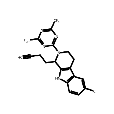 C#CCCC1c2[nH]c3ccc(Cl)cc3c2CCN1c1nc(C(F)(F)F)nc(C(F)(F)F)n1